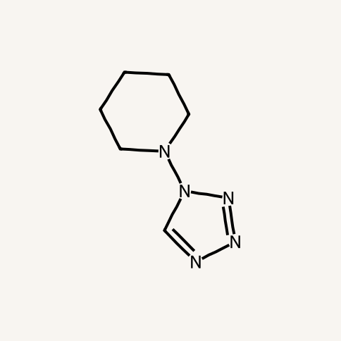 c1nnnn1N1CCCCC1